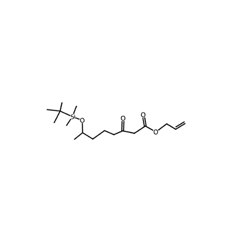 C=CCOC(=O)CC(=O)CCCC(C)O[Si](C)(C)C(C)(C)C